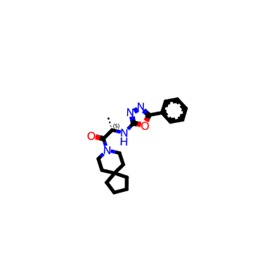 C[C@H](Nc1nnc(-c2ccccc2)o1)C(=O)N1CCC2(CCCC2)CC1